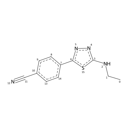 CCNc1nnc(-c2ccc(C#N)cc2)s1